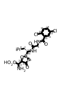 CC(C)C[C@H](NC(=O)CNC(=O)c1cc(Cl)ccc1Cl)B1OC(=O)C(C(N)C(=O)O)O1